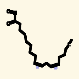 CCCCC/C=C\C/C=C\CCCCCCCC(=O)N=O